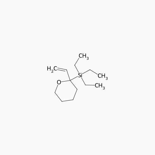 C=CC1([Si](CC)(CC)CC)CCCCO1